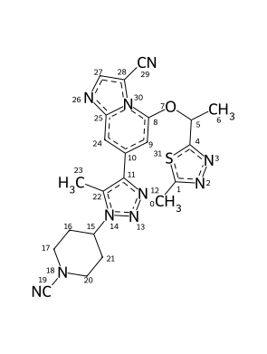 Cc1nnc(C(C)Oc2cc(-c3nnn(C4CCN(C#N)CC4)c3C)cc3ncc(C#N)n23)s1